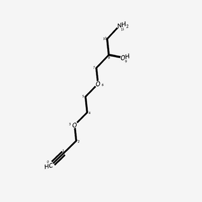 C#CCOCCOCC(O)CN